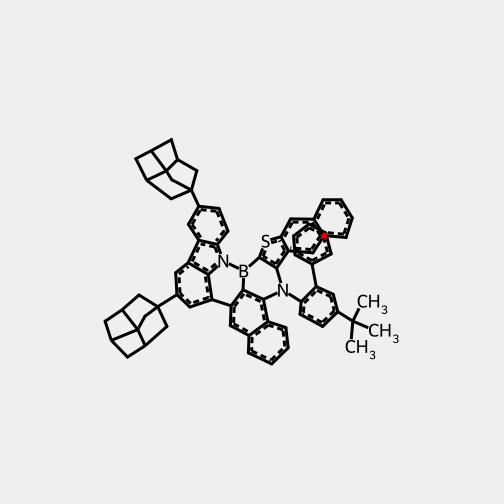 CC(C)(C)c1ccc(N2c3c4c(cc5ccccc35)-c3cc(C56CC7CC8CC(C5)C87C6)cc5c6cc(C78CC9CC%10CC(C7)C%109C8)ccc6n(c35)B4c3sc4cc5ccccc5cc4c32)c(-c2ccccc2)c1